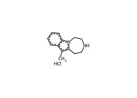 Cc1c2n(c3ccccc13)CCNCC2.Cl